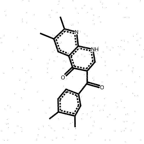 Cc1ccc(C(=O)c2c[nH]c3nc(C)c(C)cc3c2=O)cc1C